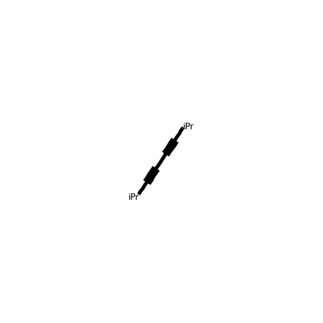 CC(C)C#CC#CC(C)C